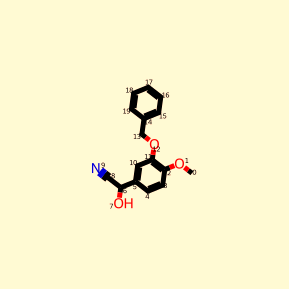 COc1ccc(C(O)C#N)cc1OCc1ccccc1